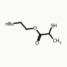 CCCCCCOC(=O)C(C)S